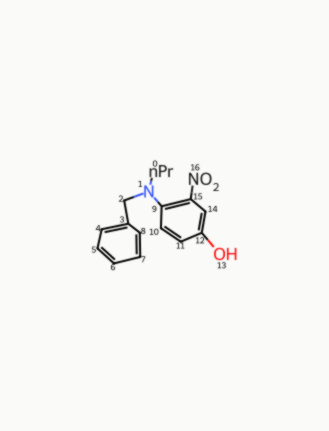 CCCN(Cc1ccccc1)c1ccc(O)cc1[N+](=O)[O-]